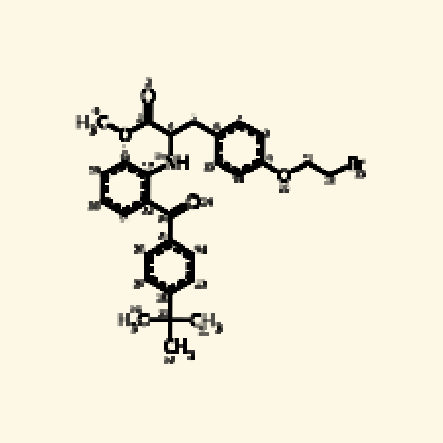 COC(=O)C(Cc1ccc(OCCBr)cc1)Nc1ccccc1C(=O)c1ccc(C(C)(C)C)cc1